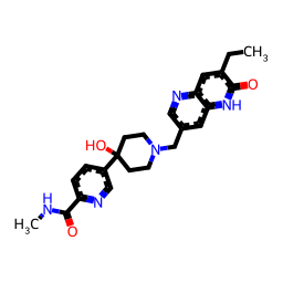 CCc1cc2ncc(CN3CCC(O)(c4ccc(C(=O)NC)nc4)CC3)cc2[nH]c1=O